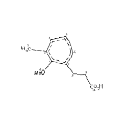 COc1c(C)cccc1CCC(=O)O